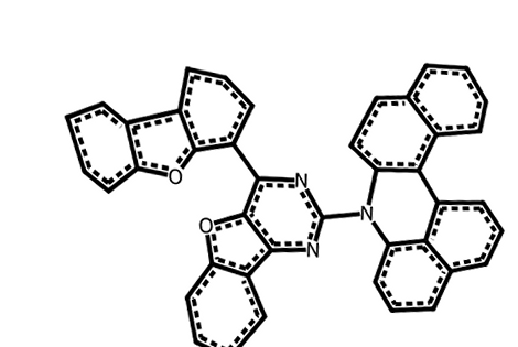 c1ccc2c3c(ccc2c1)N(c1nc(-c2cccc4c2oc2ccccc24)c2oc4ccccc4c2n1)c1cccc2cccc-3c12